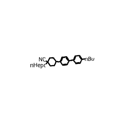 CCCCCCCC1(C#N)CCC(c2ccc(-c3ccc(CCCC)cc3)cc2)CC1